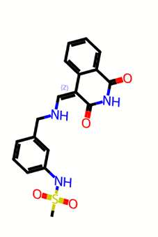 CS(=O)(=O)Nc1cccc(CN/C=C2\C(=O)NC(=O)c3ccccc32)c1